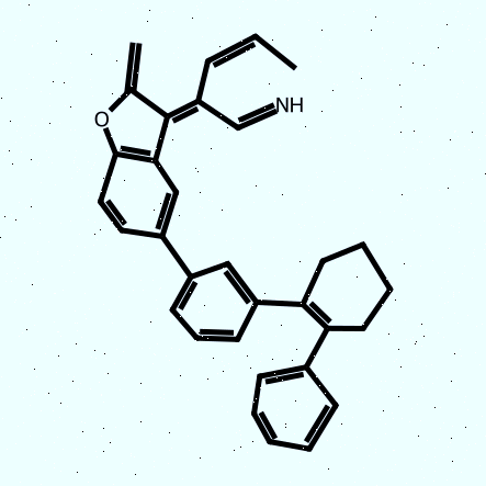 C=c1oc2ccc(-c3cccc(C4=C(c5ccccc5)CCCC4)c3)cc2/c1=C(C=N)/C=C\C